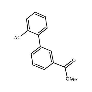 COC(=O)c1cccc(-c2ccccc2C#N)c1